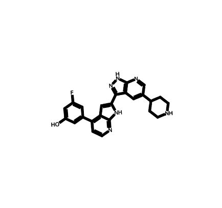 Oc1cc(F)cc(-c2ccnc3[nH]c(-c4n[nH]c5ncc(C6CCNCC6)cc45)cc23)c1